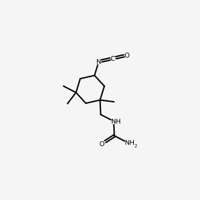 CC1(C)CC(N=C=O)CC(C)(CNC(N)=O)C1